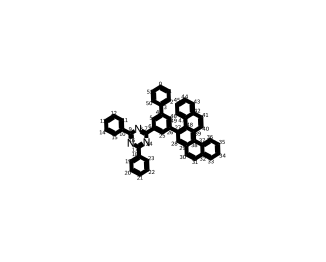 c1ccc(-c2cc(-c3nc(-c4ccccc4)nc(-c4ccccc4)n3)cc(-c3cc4ccc5ccccc5c4c4ccc5ccccc5c34)c2)cc1